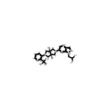 FC(F)Cn1ncc2ncc(N3C[C@H]4CN(c5cccnc5C(F)(F)F)C[C@@H]4C3)nc21